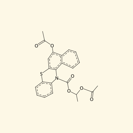 CC(=O)Oc1cc2c(c3ccccc13)N(C(=O)OC(C)OC(C)=O)c1ccccc1S2